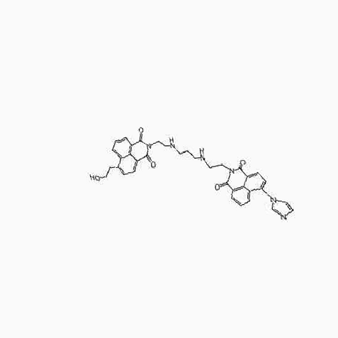 O=C1c2cccc3c(CCO)ccc(c23)C(=O)N1CCNCCCNCCN1C(=O)c2cccc3c(-n4ccnc4)ccc(c23)C1=O